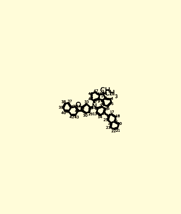 CC1(C)c2ccccc2-c2c(N(c3ccc(-c4ccc5ccccc5c4)cc3)c3ccc4c(c3)oc3c5ccccc5ccc43)cccc21